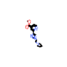 COC(=O)c1ccnc(-c2cn(CCN3CCCC3)cn2)c1